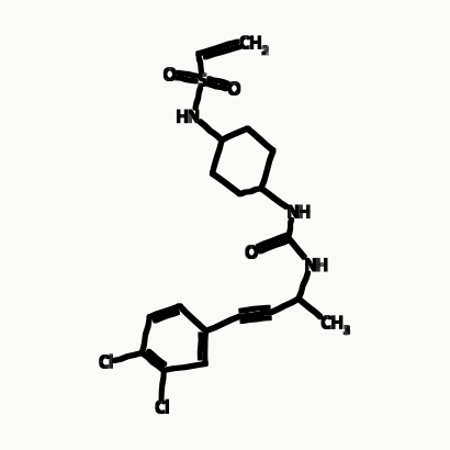 C=CS(=O)(=O)NC1CCC(NC(=O)NC(C)C#Cc2ccc(Cl)c(Cl)c2)CC1